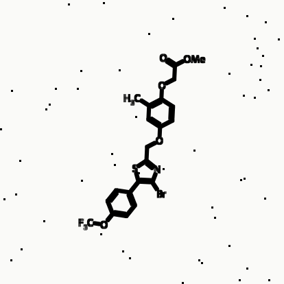 COC(=O)COc1ccc(OCc2nc(Br)c(-c3ccc(OC(F)(F)F)cc3)s2)cc1C